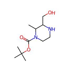 CC1C(CO)NCCN1C(=O)OC(C)(C)C